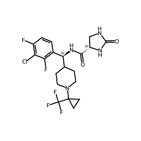 O=C1NC[C@@H](C(=O)N[C@H](c2ccc(F)c(Cl)c2F)C2CCN(C3(C(F)(F)F)CC3)CC2)N1